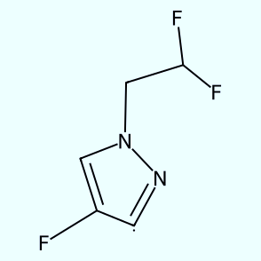 Fc1[c]nn(CC(F)F)c1